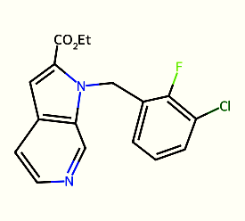 CCOC(=O)c1cc2ccncc2n1Cc1cccc(Cl)c1F